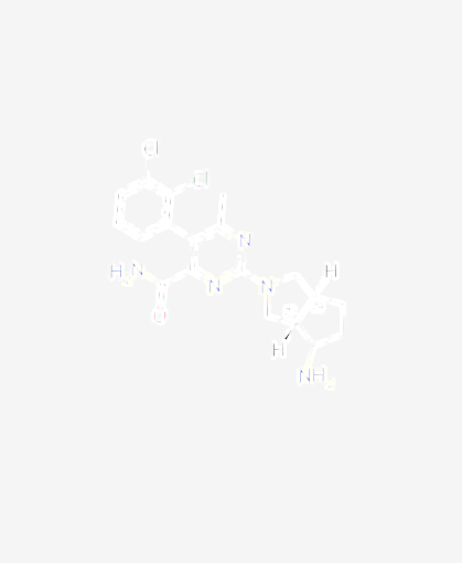 Cc1nc(N2C[C@H]3CCC(N)[C@@H]3C2)nc(C(N)=O)c1-c1cccc(Cl)c1Cl